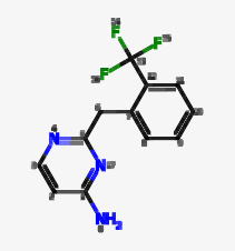 Nc1ccnc(Cc2ccccc2C(F)(F)F)n1